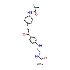 C=C(C)C(=O)NCCNc1ccc(C(=O)/C=C/c2ccc(NC(=O)C(=C)C)cc2)cc1